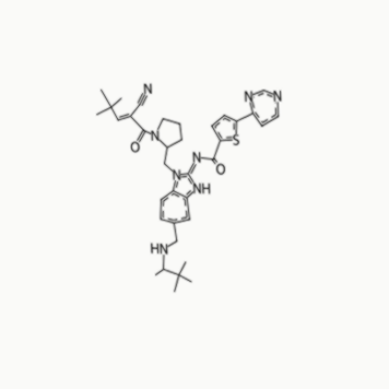 CC(NCc1ccc2c(c1)[nH]c(=NC(=O)c1ccc(-c3ccncn3)s1)n2CC1CCCN1C(=O)C(C#N)=CC(C)(C)C)C(C)(C)C